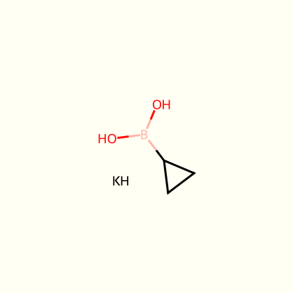 OB(O)C1CC1.[KH]